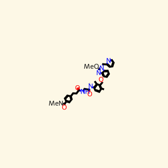 CNC(=O)c1ccc(CCC(=O)NCC(=O)N(C)c2ccc(C)c(COc3cccc4c3nc(OC)n4Cc3ccccn3)c2C)cc1